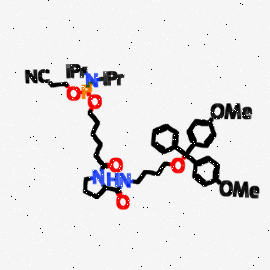 COc1ccc(C(OCCCCNC(=O)C2CCCN2C(=O)CCCCCOP(OCCC#N)N(C(C)C)C(C)C)(c2ccccc2)c2ccc(OC)cc2)cc1